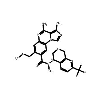 COCc1cc2nc(N)c3c(C)ncn3c2cc1C(=O)N(C)[C@H]1COCc2nc(C(F)(F)F)ccc21